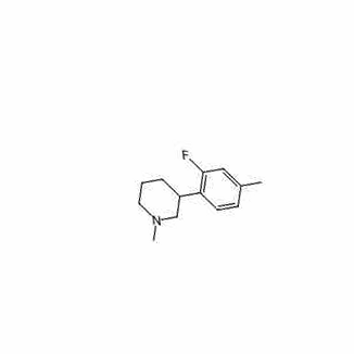 Cc1ccc(C2CCCN(C)C2)c(F)c1